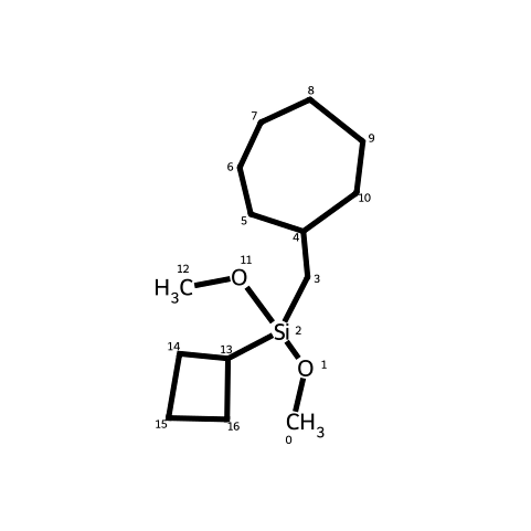 CO[Si](CC1CCCCCC1)(OC)C1CCC1